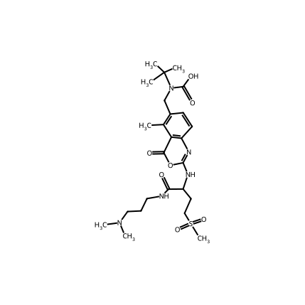 Cc1c(CN(C(=O)O)C(C)(C)C)ccc2nc(NC(CCS(C)(=O)=O)C(=O)NCCCN(C)C)oc(=O)c12